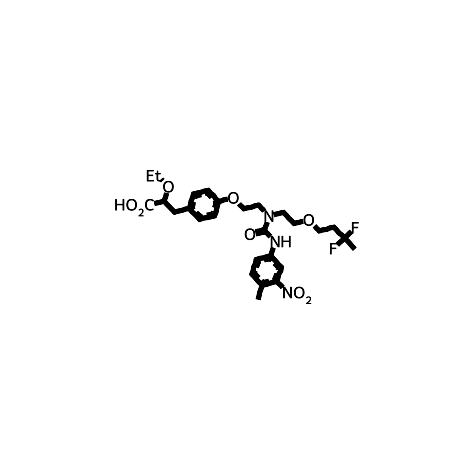 CCOC(Cc1ccc(OCCN(CCOCCC(C)(F)F)C(=O)Nc2ccc(C)c([N+](=O)[O-])c2)cc1)C(=O)O